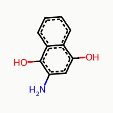 Nc1cc(O)c2ccccc2c1O